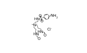 C[N+](CCCNC=O)(CCCNC=O)CCNS(=O)(=O)c1ccc(N)cc1.[Cl-]